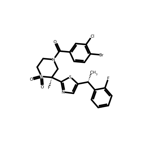 C[C@@H](c1cnc([C@]2(F)CN(C(=O)c3ccc(Br)c(Cl)c3)CCS2(=O)=O)s1)c1ccccc1F